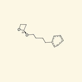 c1ccc(CCCCO[C@@H]2CCO2)cc1